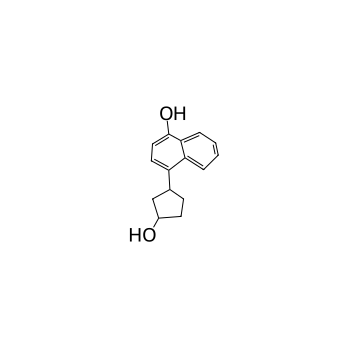 Oc1ccc(C2CCC(O)C2)c2ccccc12